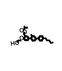 C=C(C)C(=O)OCc1cc(-c2ccc(-c3ccc(CCCCC)cc3)cc2C)ccc1OCCO